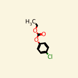 CCOC(=O)Oc1ccc(Cl)cc1